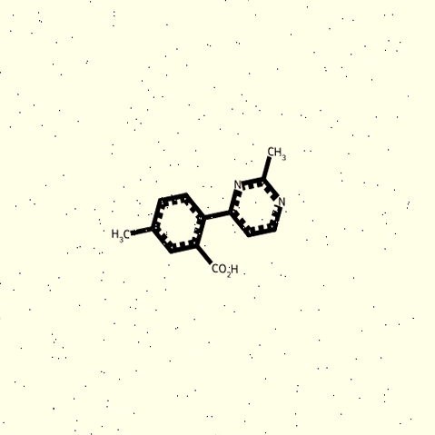 Cc1ccc(-c2ccnc(C)n2)c(C(=O)O)c1